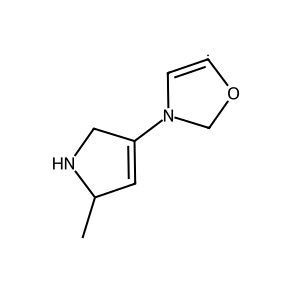 CC1C=C(N2C=[C]OC2)CN1